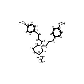 Cl.Oc1ccc(CCC[N+]2(CCCc3ccc(O)cc3)CCCCC2)cc1.[Cl-]